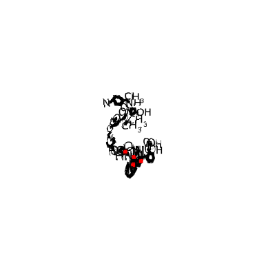 CC(C)[C@@H](C(=O)N1C[C@H](O)C[C@H]1C(=O)N[C@@H](C)c1ccc(C#N)cc1)c1cc(OCCN2CCC(OC3CC(Oc4cc(N5C6CCC5CN(c5cc(-c7ccccc7OP(=O)(O)O)nnc5NC(=O)O)C6)ccn4)C3)CC2)no1